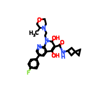 C[C@H]1COCCN1CCN1c2ncc(-c3ccc(F)cc3)cc2C(O)=C(C(=O)NC2CC3(CC3)C2)C1O